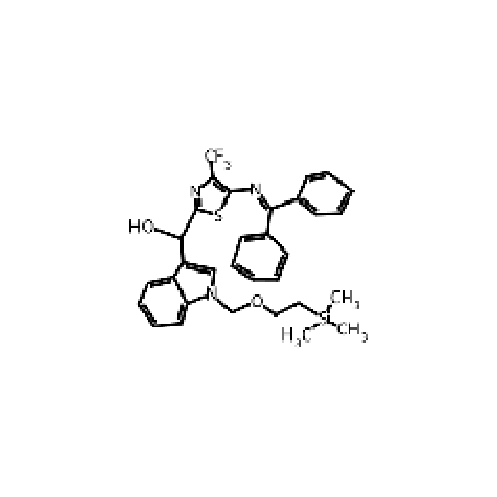 C[Si](C)(C)CCOCn1cc(C(O)c2nc(C(F)(F)F)c(N=C(c3ccccc3)c3ccccc3)s2)c2ccccc21